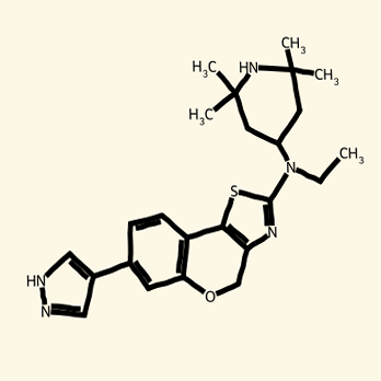 CCN(c1nc2c(s1)-c1ccc(-c3cn[nH]c3)cc1OC2)C1CC(C)(C)NC(C)(C)C1